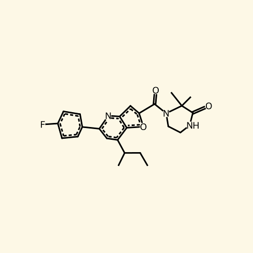 CCC(C)c1cc(-c2ccc(F)cc2)nc2cc(C(=O)N3CCNC(=O)C3(C)C)oc12